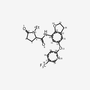 CCN1C(=O)CCC1C(=O)Nc1cc(Oc2ccc(C(F)(F)F)cn2)cc2c1OCC2